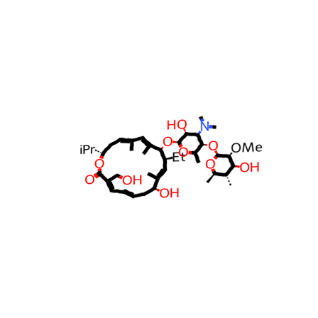 CC[C@H]1/C=C(\C)[C@@H](O)C/C=C/C=C(\CO)C(=O)O[C@H](C(C)C)C/C=C(C)/C=C(\C)[C@@H]1O[C@@H]1OC(C)[C@@H](O[C@@H]2O[C@H](C)[C@@H](C)[C@H](O)[C@H]2OC)[C@H](N(C)C)[C@H]1O